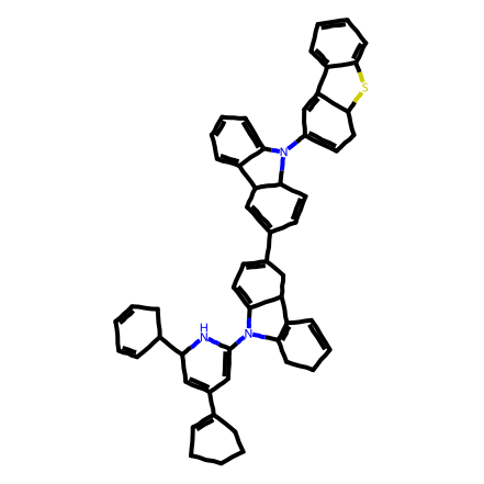 C1=CCC(C2C=C(C3=CCCCC3)C=C(N3C4=CC=C(C5=CC6c7ccccc7N(C7=CCC8Sc9ccccc9C8=C7)C6C=C5)CC4C4=C3CCC=C4)N2)C=C1